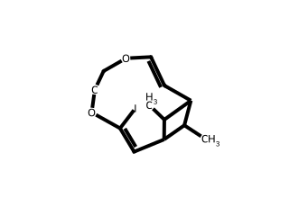 CC1C2/C=C(\I)OCCO/C=C/C1C2C